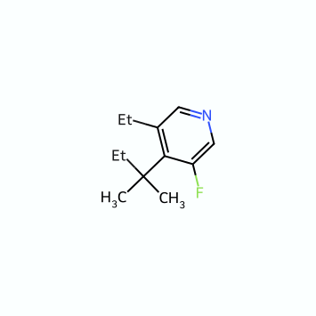 CCc1cncc(F)c1C(C)(C)CC